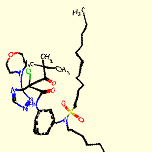 CCCCCCCCCCS(=O)(=O)N(CCCCCC)c1cccc(NC(=O)C(Cl)(C(=O)C(C)(C)C)C2(N3CCOCC3)N=CN=N2)c1